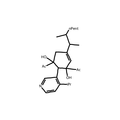 CCCCCC(C)C(C)C1=CC(O)(C(C)=O)C(c2cnccc2C(C)C)C(O)(C(C)=O)C1